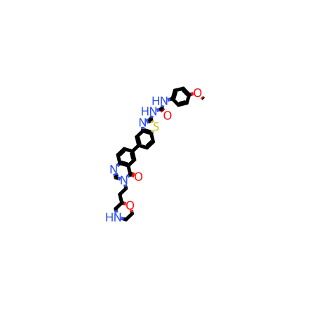 COc1ccc(NC(=O)Nc2nc3cc(-c4ccc5ncn(CCC6CNCCO6)c(=O)c5c4)ccc3s2)cc1